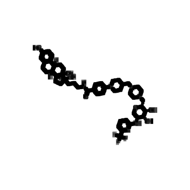 C[C@]12CC[C@@H]3c4ccc(O)cc4CC[C@H]3[C@@H]1CC[C@@]2(O)CCCNC(=O)c1ccc(N2CCC(CN3CCN(C[C@H]4OC[C@H](Nc5cccc(C(F)(F)F)n5)[C@@H](O)[C@H]4O)CC3)CC2)cc1